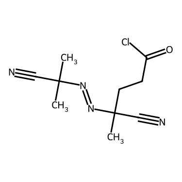 CC(C)(C#N)N=NC(C)(C#N)CCC(=O)Cl